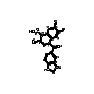 CCC1CN(C(=O)c2ccc3c(c2)OCO3)c2cc(C)c(C)cc2N1C(=O)O